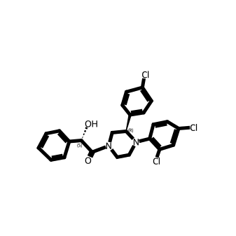 O=C([C@@H](O)c1ccccc1)N1CCN(c2ccc(Cl)cc2Cl)[C@H](c2ccc(Cl)cc2)C1